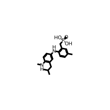 CNc1ccc(Nc2ccc(C)cc2CP(=O)(O)O)cc1CC(C)C